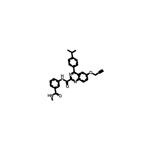 C#CCOc1ccc2nc(C(=O)Nc3cccc(C(=O)NC)c3)nc(-c3ccc(C(C)C)cc3)c2c1